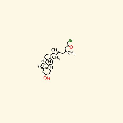 CC(CCC[C@@H](C)[C@H]1CC[C@H]2[C@@H]3CC=C4C[C@@H](O)CC[C@]4(C)[C@H]3CC[C@]12C)CC(=O)CBr